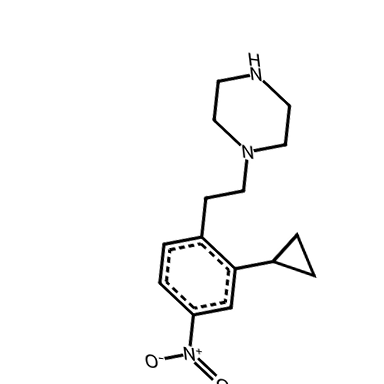 O=[N+]([O-])c1ccc(CCN2CCNCC2)c(C2CC2)c1